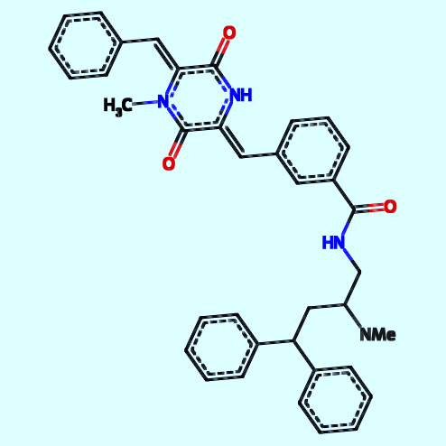 CNC(CNC(=O)c1cccc(C=c2[nH]c(=O)c(=Cc3ccccc3)n(C)c2=O)c1)CC(c1ccccc1)c1ccccc1